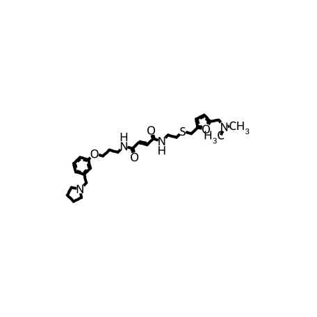 CN(C)Cc1ccc(CSCCNC(=O)/C=C/C(=O)NCCCOc2cccc(CN3CCCC3)c2)o1